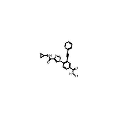 CCNC(=O)c1ccc(-n2cc(C(=O)NC3CC3)nn2)c(C#Cc2ccccn2)c1